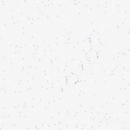 N#Cc1ccnc(/C=C/c2cc(OCCCN3CCOCC3)c(C=O)cc2Cl)c1